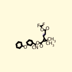 CC1(C)C(/C=C/C(=O)OC(F)F)C1C(=O)OC(C#N)c1cccc(Oc2ccccc2)c1